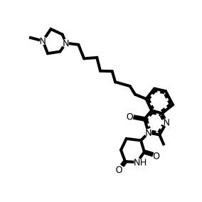 Cc1nc2cccc(CCCCCCCCN3CCN(C)CC3)c2c(=O)n1C1CCC(=O)NC1=O